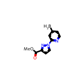 Bc1ccnc(-n2ccc(C(=O)OC)n2)c1